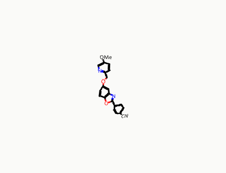 COc1ccc(COc2ccc3oc(-c4ccc(C#N)cc4)nc3c2)nc1